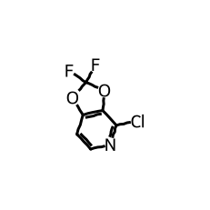 FC1(F)Oc2ccnc(Cl)c2O1